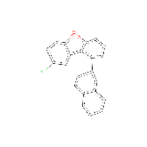 Clc1ccc2oc3cccc(-c4ccc5ccccc5c4)c3c2c1